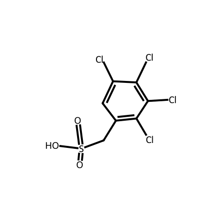 O=S(=O)(O)Cc1cc(Cl)c(Cl)c(Cl)c1Cl